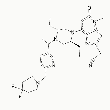 CC[C@H]1CN(C(C)c2ccc(CN3CCC(F)(F)CC3)nc2)[C@H](CC)CN1c1cc(=O)n(C)c2cn(CC#N)nc12